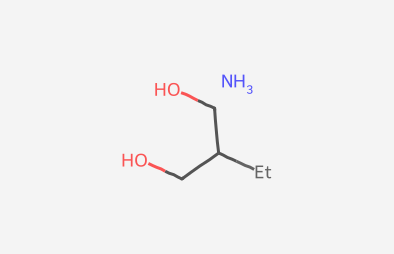 CCC(CO)CO.N